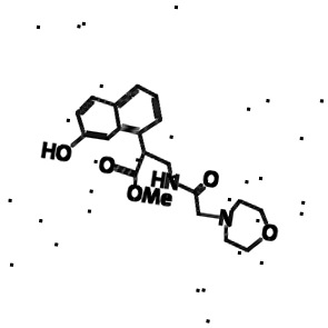 COC(=O)C(CNC(=O)CN1CCOCC1)c1cccc2ccc(O)cc12